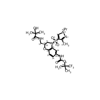 Cc1nn(C(C)C)cc1S(=O)(=O)N1C[C@H](CNC(=O)C(C)(C)O)Oc2ccc(NC(=O)OC(C)(C)C(F)(F)F)cc21